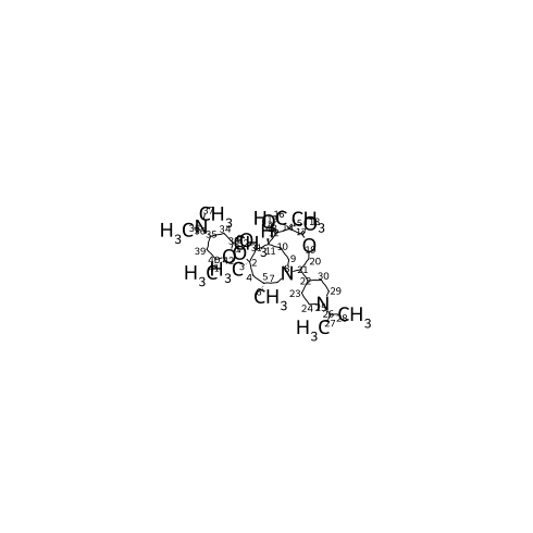 CO[C@]1(C)C[C@@H](C)CN2CC[C@@H](C(=O)C(C)(C)C(=O)OCC2C2CCN(C(C)C)CC2)[C@H]1O[C@H]1C[C@@H](N(C)C)C[C@@H](C)O1